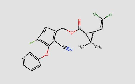 CC1(C)C(C=C(Cl)Cl)C1C(=O)OCc1ccc(F)c(Oc2ccccc2)c1C#N